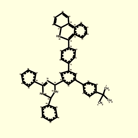 CC(C)(C)c1ccc(-c2cc(-c3ccc(C4=c5ccccc5=C5C=CC=CC5N4)cc3)cc(C3N=C(c4ccccc4)NC(c4ccccc4)N3)c2)cc1